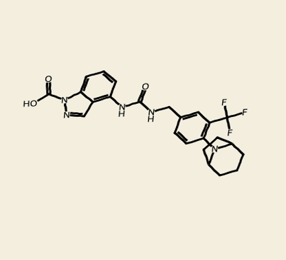 O=C(NCc1ccc(N2C3CCCC2CC3)c(C(F)(F)F)c1)Nc1cccc2c1cnn2C(=O)O